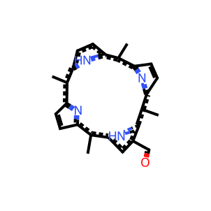 Cc1c2nc(c(C)c3cc(C=O)c([nH]3)c(C)c3nc(c(C)c4ccc1[nH]4)C=C3)C=C2